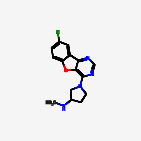 O=C(O)NC1CCN(c2ncnc3c2oc2ccc(Cl)cc23)C1